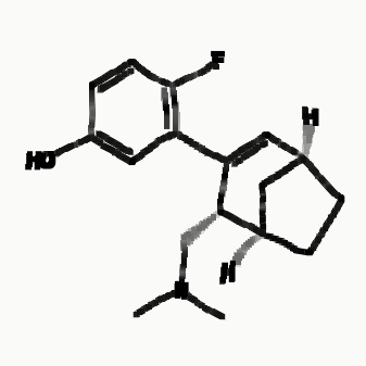 CN(C)C[C@@H]1C(c2cc(O)ccc2F)=C[C@H]2CC[C@@H]1C2